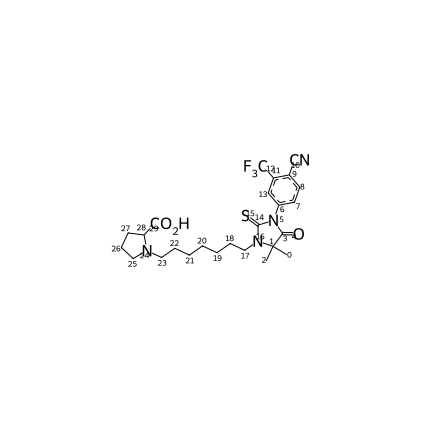 CC1(C)C(=O)N(c2ccc(C#N)c(C(F)(F)F)c2)C(=S)N1CCCCCCCN1CCCC1C(=O)O